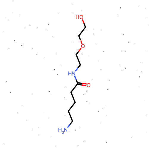 NCCCCC(=O)NCCOCCO